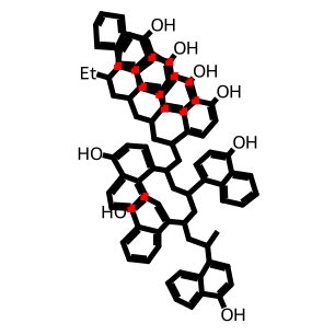 CCC(CC(CC(CC(CC(CC(CC(CC(C)c1ccc(O)c2ccccc12)c1ccc(O)c2ccccc12)c1ccc(O)c2ccccc12)c1ccc(O)c2ccccc12)c1ccc(O)c2ccccc12)c1ccc(O)c2ccccc12)c1ccc(O)c2ccccc12)c1ccc(O)c2ccccc12